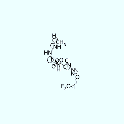 CC1(C)CCC(CNc2cccc(S(=O)(=O)NC(=O)c3ccc(-n4ccc(OCCC5CC5C(F)(F)F)n4)nc3Cl)n2)N1